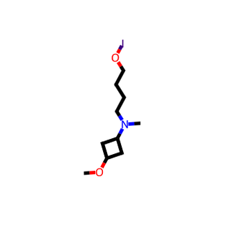 COC1CC(N(C)CCCCOI)C1